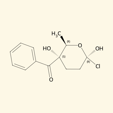 C[C@H]1O[C@@](O)(Cl)CC[C@@]1(O)C(=O)c1ccccc1